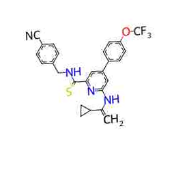 C=C(Nc1cc(-c2ccc(OC(F)(F)F)cc2)cc(C(=S)NCc2ccc(C#N)cc2)n1)C1CC1